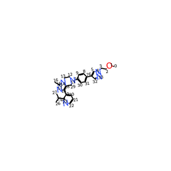 COCCn1cc(-c2ccc(N3CCn4c(C)nc(-c5cccnc5C(C)C)c4C3)cc2)cn1